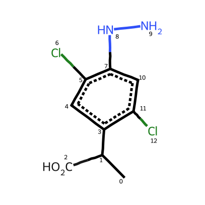 CC(C(=O)O)c1cc(Cl)c(NN)cc1Cl